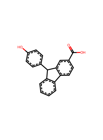 O=C(O)c1ccc2c(c1)C(c1ccc(O)cc1)c1ccccc1-2